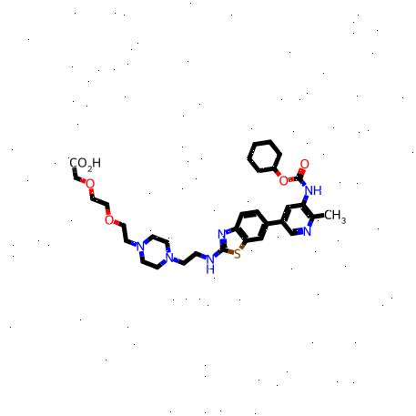 Cc1ncc(-c2ccc3nc(NCCN4CCN(CCOCCOCC(=O)O)CC4)sc3c2)cc1NC(=O)OC1CCCCC1